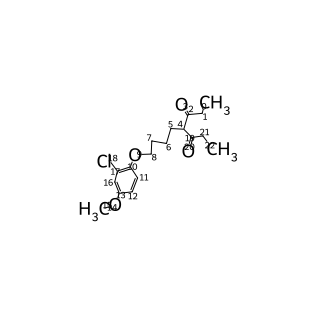 CCC(=O)C(CCCCOc1ccc(OC)cc1Cl)C(=O)CC